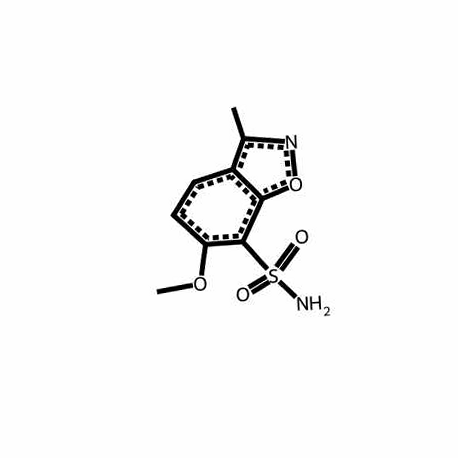 COc1ccc2c(C)noc2c1S(N)(=O)=O